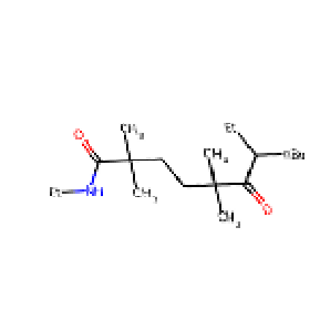 CCCCC(CC)C(=O)C(C)(C)CCC(C)(C)C(=O)NCC